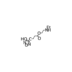 CCNCCOC(=O)CCC(=O)O.c1cnon1